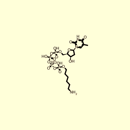 Cc1cn([C@H]2C[C@@H](O)[C@@H](COP(=O)(O)OP(=O)(O)OP(=O)(O)OP(=O)(O)OCCCCCCN)O2)c(=O)[nH]c1=O